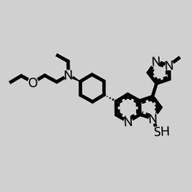 CCOCCN(CC)[C@H]1CC[C@H](c2cnc3c(c2)c(-c2cnn(C)c2)cn3S)CC1